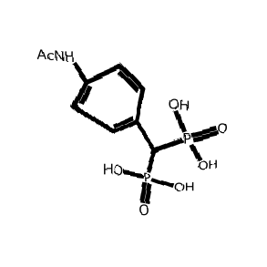 CC(=O)Nc1ccc(C(P(=O)(O)O)P(=O)(O)O)cc1